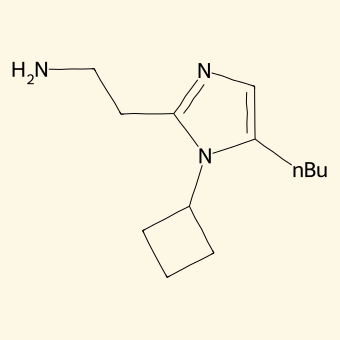 CCCCc1cnc(CCN)n1C1CCC1